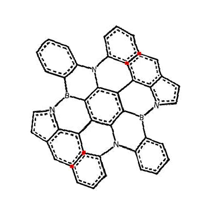 c1ccc(N2c3ccccc3B3c4c(c5c6c(c42)-c2cccc4ccn(c24)B6c2ccccc2N5c2ccccc2)-c2cccc4ccn3c24)cc1